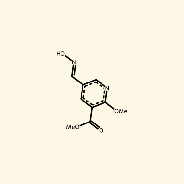 COC(=O)c1cc(/C=N/O)cnc1OC